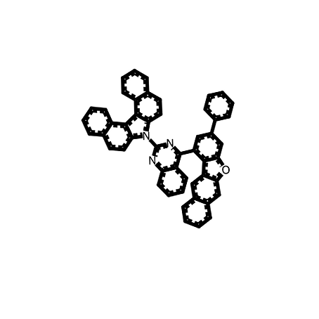 c1ccc(-c2cc(-c3nc(-n4c5ccc6ccccc6c5c5c6ccccc6ccc54)nc4ccccc34)c3c(c2)oc2cc4ccccc4cc23)cc1